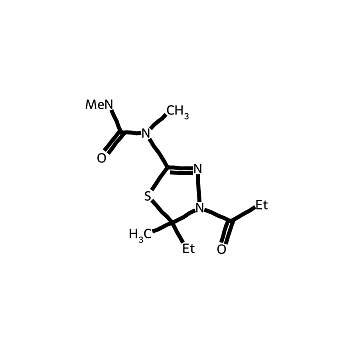 CCC(=O)N1N=C(N(C)C(=O)NC)SC1(C)CC